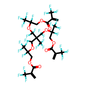 C=C(C(=O)OCC(F)(OC(F)C(C(F)(F)F)(C(F)(F)OC(F)(COC(=O)C(=C)C(F)(F)F)C(F)(F)F)C(F)(F)OC(F)(COC(=O)C(=C)C(F)(F)F)C(F)(F)F)C(F)(F)F)C(F)(F)F